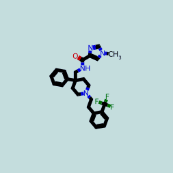 Cn1cnc(C(=O)NCC2(c3ccccc3)CCN(CCc3ccccc3C(F)(F)F)CC2)c1